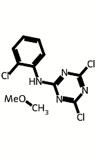 COC.Clc1nc(Cl)nc(Nc2ccccc2Cl)n1